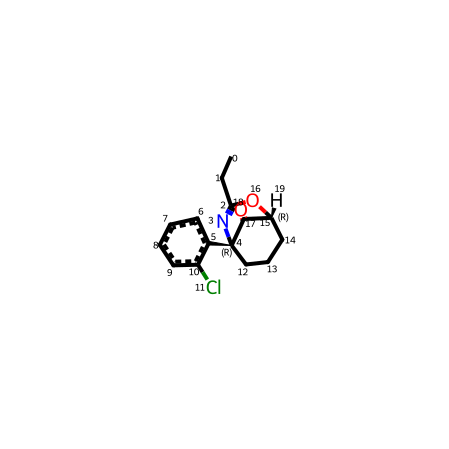 CCC1=N[C@@]2(c3ccccc3Cl)CCC[C@@H](O1)C2=O